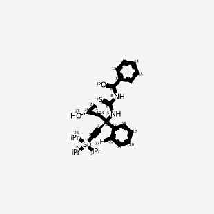 CC(C)[Si](C#C[C@@](NC(=S)NC(=O)c1ccccc1)(c1ccccc1F)[C@H]1C[C@H]1O)(C(C)C)C(C)C